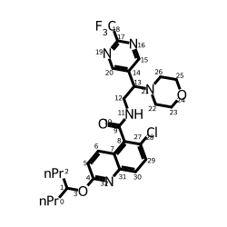 CCCC(CCC)Oc1ccc2c(C(=O)NCC(c3cnc(C(F)(F)F)nc3)N3CCOCC3)c(Cl)ccc2n1